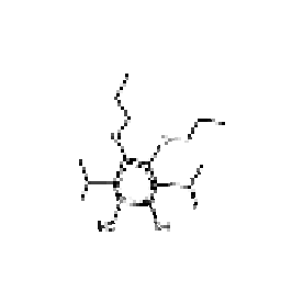 CCCOc1c(OCCC)c(C(C)C)c(O)c(O)c1C(C)C